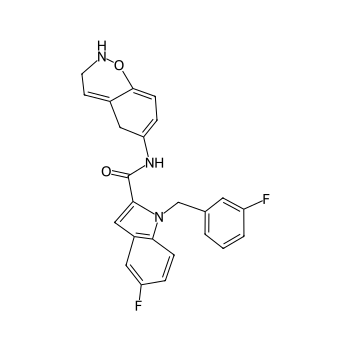 O=C(NC1=CC=C2ONCC=C2C1)c1cc2cc(F)ccc2n1Cc1cccc(F)c1